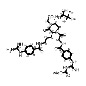 COC(=O)NC(=N)Nc1ccc(C(=O)NCC(=O)N2CCN(CC(=O)O)C(=O)[C@@H]2CCCNC(=O)c2ccc(NC(=N)N)cc2)cc1.O=C(O)C(F)(F)F